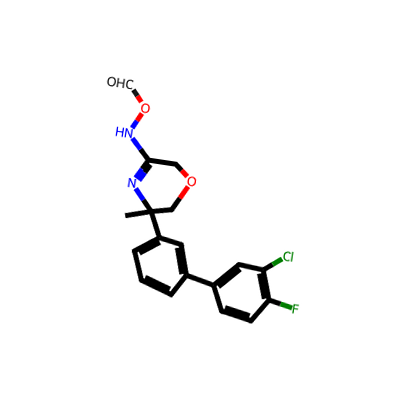 CC1(c2cccc(-c3ccc(F)c(Cl)c3)c2)COCC(NOC=O)=N1